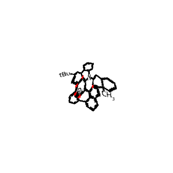 CC(C)(C)c1cc(-c2ccccc2N(C2=CC3C=CC=CC3(C)C=C2)c2ccccc2-c2cccc3cccc(-c4ccccc4)c23)cc(C(C)(C)C)c1